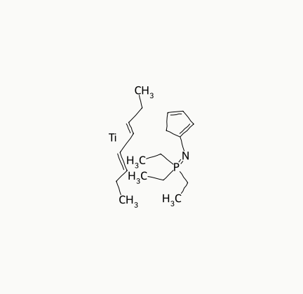 CCC=CC=CCC.CCP(CC)(CC)=NC1=CC=CC1.[Ti]